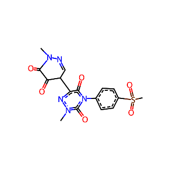 CN1N=CC(c2nn(C)c(=O)n(-c3ccc(S(C)(=O)=O)cc3)c2=O)C(=O)C1=O